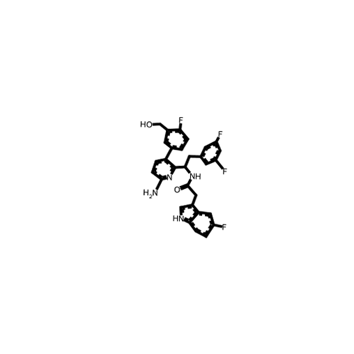 Nc1ccc(-c2ccc(F)c(CO)c2)c(C(Cc2cc(F)cc(F)c2)NC(=O)Cc2c[nH]c3ccc(F)cc23)n1